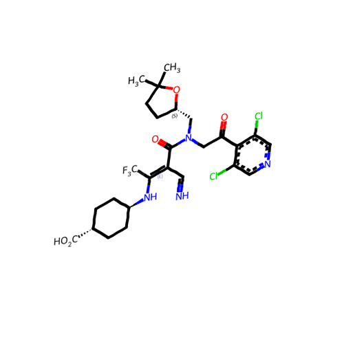 CC1(C)CC[C@@H](CN(CC(=O)c2c(Cl)cncc2Cl)C(=O)/C(C=N)=C(/N[C@H]2CC[C@H](C(=O)O)CC2)C(F)(F)F)O1